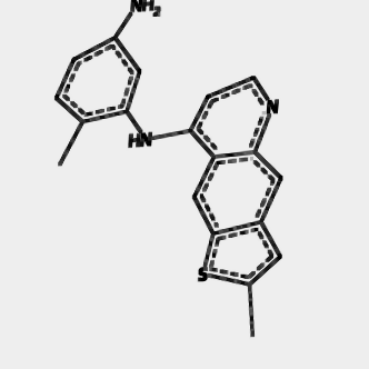 Cc1cc2cc3nccc(Nc4cc(N)ccc4C)c3cc2s1